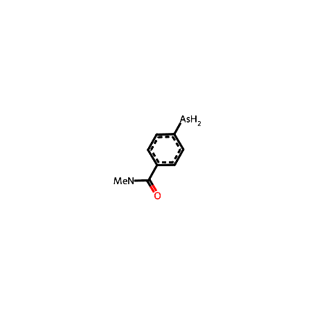 CNC(=O)c1ccc([AsH2])cc1